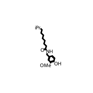 COc1cc(CNC(=O)CCCCCCCC(C)C)ccc1O